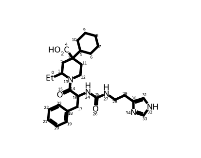 CCC1CC(C(=O)O)(C2CCCCC2)CCN1C(=O)C(Cc1ccccc1)NC(=O)NCCc1c[nH]cn1